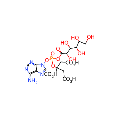 Nc1ncnc2c1ncn2OP(=O)(OC(=O)[C@H](O)[C@@H](O)[C@H](O)[C@H](O)CO)OC(CC(=O)O)(CC(=O)O)C(=O)O